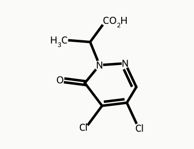 CC(C(=O)O)n1ncc(Cl)c(Cl)c1=O